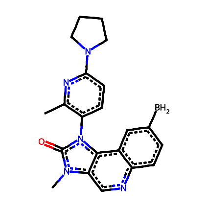 Bc1ccc2ncc3c(c2c1)n(-c1ccc(N2CCCC2)nc1C)c(=O)n3C